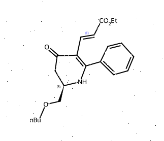 CCCCOC[C@H]1CC(=O)C(/C=C/C(=O)OCC)=C(c2ccccc2)N1